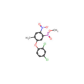 CO[PH](=O)c1cc(Oc2ccc(Cl)cc2Cl)c(C)cc1[N+](=O)[O-]